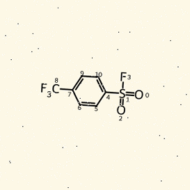 O=S(=O)(F)c1ccc(C(F)(F)F)cc1